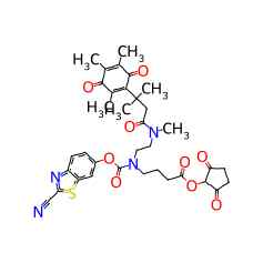 CC1=C(C)C(=O)C(C(C)(C)CC(=O)N(C)CCN(CCCC(=O)OC2C(=O)CCC2=O)C(=O)Oc2ccc3nc(C#N)sc3c2)=C(C)C1=O